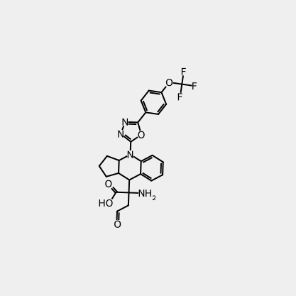 NC(CC=O)(C(=O)O)C1c2ccccc2N(c2nnc(-c3ccc(OC(F)(F)F)cc3)o2)C2CCCC21